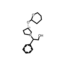 OCC(c1ccccc1)N1CC[C@H](OC2CCCCO2)C1